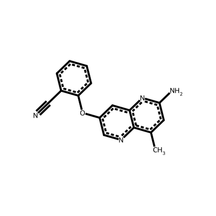 Cc1cc(N)nc2cc(Oc3ccccc3C#N)cnc12